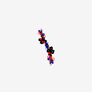 CCN1C(=O)/C(=c2\s/c(=C/c3ccc4c(c3)C3(c5ccccc5-c5ccccc53)c3cc(-c5nc6cc7sc(-c8ccc9c(c8)C8(c%10ccccc%10-c%10ccccc%108)c8cc(/C=c%10/s/c(=C%11/SC(=S)N(CC)C%11=O)n(CC)c%10=O)ccc8-9)nc7cc6s5)ccc3-4)c(=O)n2CC)SC1=S